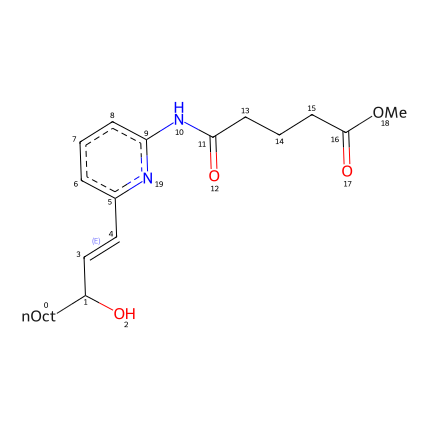 CCCCCCCCC(O)/C=C/c1cccc(NC(=O)CCCC(=O)OC)n1